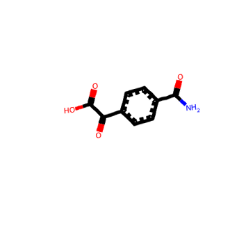 NC(=O)c1ccc(C(=O)C(=O)O)cc1